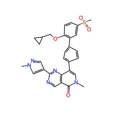 Cn1cc(-c2ncc3c(=O)n(C)cc(-c4ccc(-c5cc(S(C)(=O)=O)ccc5OCC5CC5)cc4)c3n2)cn1